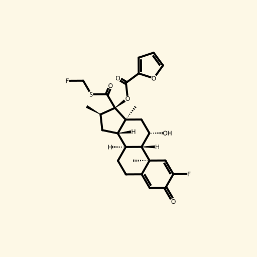 C[C@@H]1C[C@H]2[C@@H]3CCC4=CC(=O)C(F)=C[C@]4(C)[C@H]3[C@@H](O)C[C@]2(C)[C@@]1(OC(=O)c1ccco1)C(=O)SCF